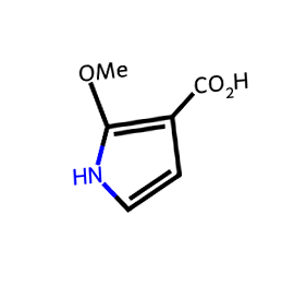 COc1[nH]ccc1C(=O)O